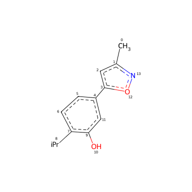 Cc1cc(-c2ccc(C(C)C)c(O)c2)on1